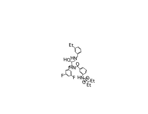 CCc1cccc(CNC[C@H](O)[C@H](Cc2cc(F)cc(F)c2)NC(=O)c2cccc(NS(=O)(=O)C(CC)CC)c2)c1